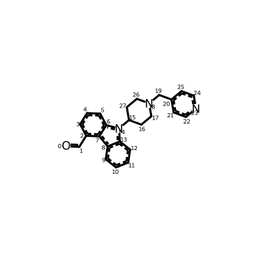 O=Cc1cccc2c1c1ccccc1n2C1CCN(Cc2ccncc2)CC1